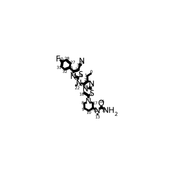 CCc1nc2sc(N3CCCC(N(C)C(N)=O)C3)cn2c1N(C)c1nc(-c2ccc(F)cc2)c(C#N)s1